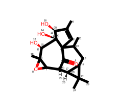 CC1=CC23C(=O)[C@@H](C4OC4(C)[C@@H](O)[C@]2(O)[C@H]1O)[C@H]1C(CC3C)C1(C)C